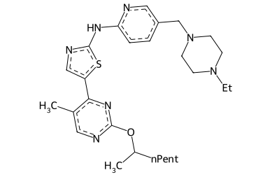 CCCCCC(C)Oc1ncc(C)c(-c2cnc(Nc3ccc(CN4CCN(CC)CC4)cn3)s2)n1